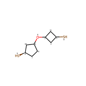 SC1CC(OC2CC[C@@H](S)C2)C1